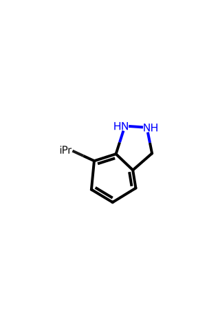 CC(C)c1cccc2c1NNC2